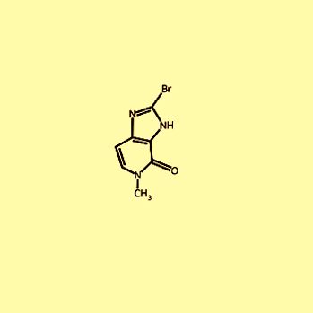 Cn1ccc2nc(Br)[nH]c2c1=O